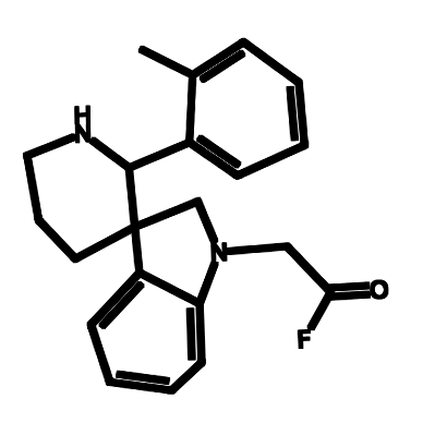 Cc1ccccc1C1NCCCC12CN(CC(=O)F)c1ccccc12